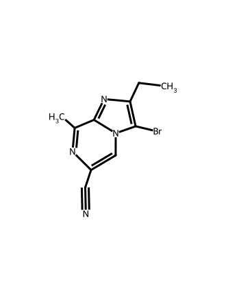 CCc1nc2c(C)nc(C#N)cn2c1Br